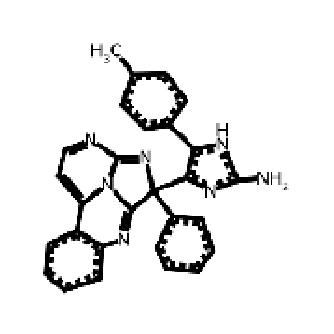 Cc1ccc(-c2[nH]c(N)nc2C2(c3ccccc3)N=C3N=CC=C4c5ccccc5N=C2N43)cc1